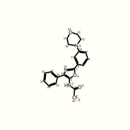 O=C(Nc1oc(-c2cccc(N3CCOCC3)c2)nc1-c1ccccc1)C(F)(F)F